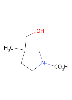 CC1(CO)CCN(C(=O)O)C1